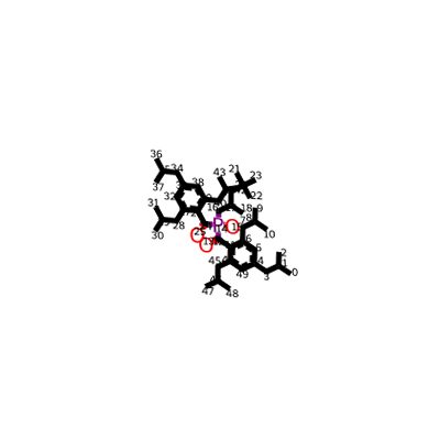 CC(C)Cc1cc(CC(C)C)c(C(=O)P(=O)(CC(C)CC(C)(C)C)C(=O)c2c(CC(C)C)cc(CC(C)C)cc2CC(C)C)c(CC(C)C)c1